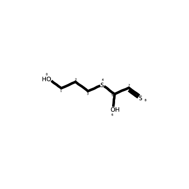 OCCCSC(O)C=S